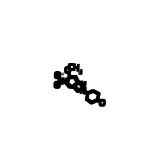 COc1cc2nn(C3CCC(=O)CC3)cc2cc1[N+](=O)[O-]